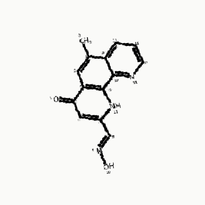 Cc1cc2c(=O)cc(/C=N/O)[nH]c2c2ncccc12